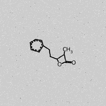 CC1C(=O)OC1CCc1ccccc1